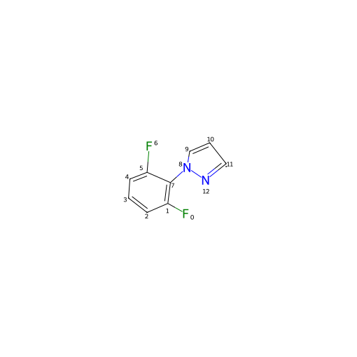 Fc1cccc(F)c1-n1cc[c]n1